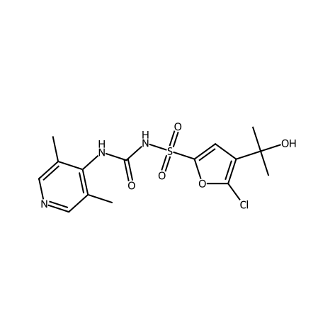 Cc1cncc(C)c1NC(=O)NS(=O)(=O)c1cc(C(C)(C)O)c(Cl)o1